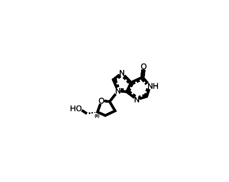 O=c1[nH]cnc2c1ncn2C1CC[C@H](CO)O1